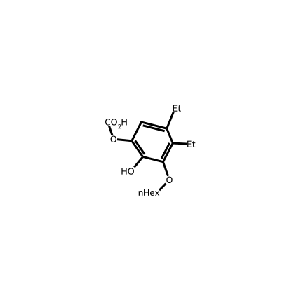 CCCCCCOc1c(O)c(OC(=O)O)cc(CC)c1CC